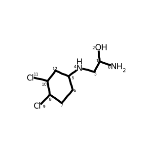 NC(O)CNC1CCC(Cl)C(Cl)C1